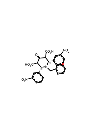 O=C(O)C1C(=O)C(C(=O)O)[C@H](c2cccc([N+](=O)[O-])c2)N(Cc2ccccc2)[C@@H]1c1cccc([N+](=O)[O-])c1